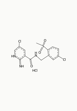 CS(=O)(=O)c1ccc(Cl)cc1CNC(=O)c1cc(Cl)c[nH]c1=N.Cl